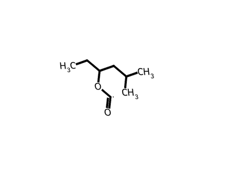 CCC(CC(C)C)O[C]=O